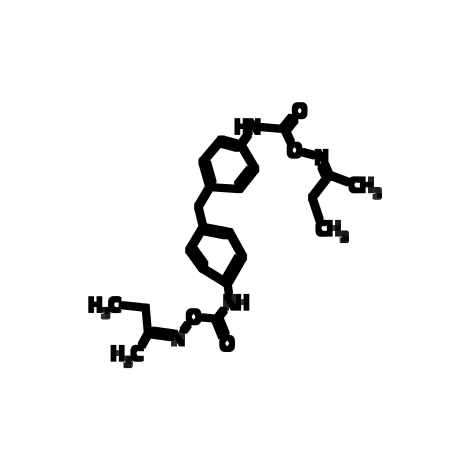 CCC(C)=NOC(=O)Nc1ccc(Cc2ccc(NC(=O)ON=C(C)CC)cc2)cc1